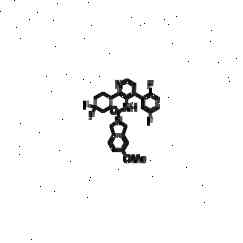 COc1ccc2c(c1)CN(C(=O)Nc1c(-c3cc(F)ccc3F)ccnc1C1CCC(F)(F)CC1)C2